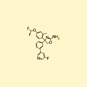 Cc1cc(OC(F)F)ccc1C1(c2cccc(-c3cncc(F)c3)c2)COC(N)=N1